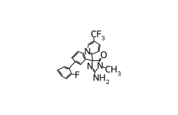 CN1C(=O)C(c2cccc(-c3ccccc3F)c2)(c2ccc(C(F)(F)F)cn2)N=C1N